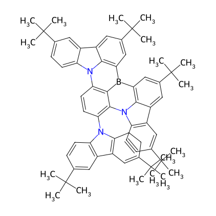 CC(C)(C)C1=Cc2c(n(-c3ccc4c5c3-n3c6c#cc(C(C)(C)C)cc6c6cc(C(C)(C)C)cc(c63)B5c3cc(C(C)(C)C)cc5c6cc(C(C)(C)C)ccc6n-4c35)c3ccc(C(C)(C)C)cc23)CC1